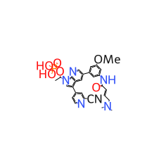 COc1cc(NC(=O)C=CCN(C)C)cc(-c2cnc3c(c2)c(-c2ccnc(C#N)c2)cn3C(C)OP(=O)(O)O)c1